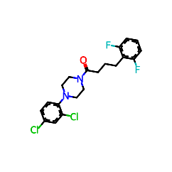 O=C(CCCc1c(F)cccc1F)N1CCN(c2ccc(Cl)cc2Cl)CC1